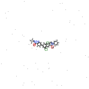 O=C(NC1CCC1)c1ccc(-c2cc(Cl)c(CC3CCN(C4CCCCC4)C3=O)c(Cl)c2)cc1